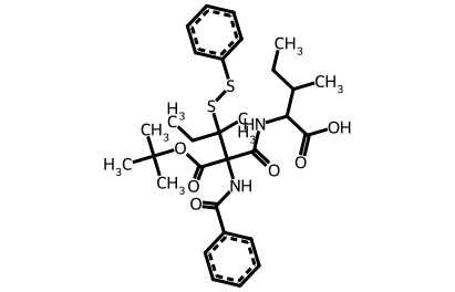 CCC(C)C(NC(=O)C(NC(=O)c1ccccc1)(C(=O)OC(C)(C)C)C(C)(CC)SSc1ccccc1)C(=O)O